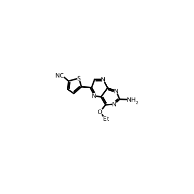 CCOc1nc(N)nc2ncc(-c3ccc(C#N)s3)nc12